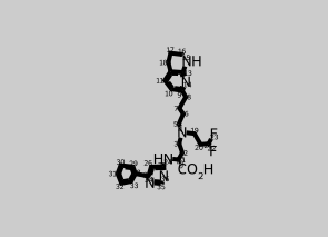 O=C(O)[C@H](CCN(CCCCc1ccc2c(n1)NCCC2)CCC(F)F)Nc1cc(-c2ccccc2)ncn1